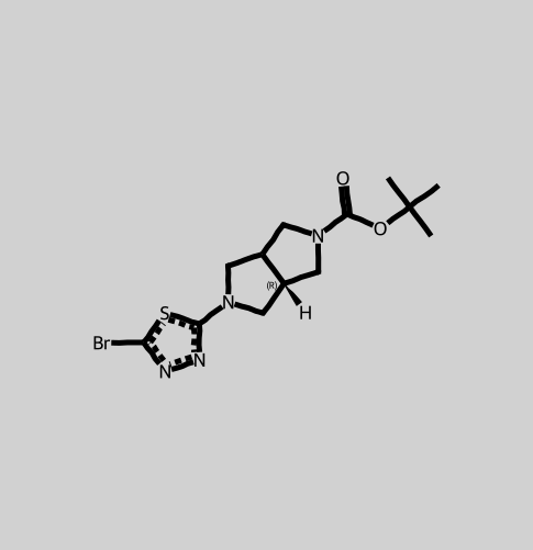 CC(C)(C)OC(=O)N1CC2CN(c3nnc(Br)s3)C[C@H]2C1